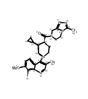 COc1ccc2c(N3CC[C@H](C(=O)N4CCn5c(nnc5C(F)(F)F)C4)C(C4CC4)C3)c(C#N)cnc2c1F